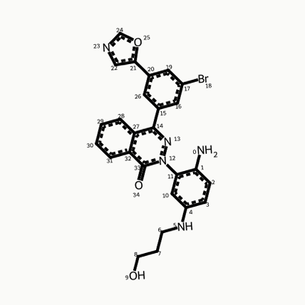 Nc1ccc(NCCCO)cc1-n1nc(-c2cc(Br)cc(-c3cnco3)c2)c2ccccc2c1=O